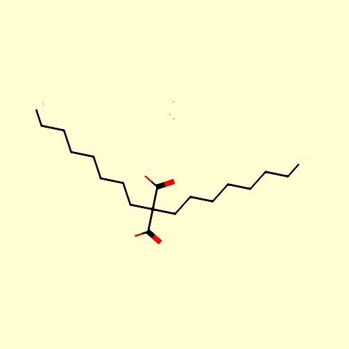 CCCCCCCCC(CCCCCCCC)(C(=O)[O-])C(=O)[O-].[K+].[Na+]